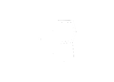 [CH]1CCc2ccccc21.[Ti]